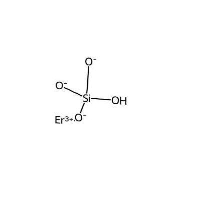 [Er+3].[O-][Si]([O-])([O-])O